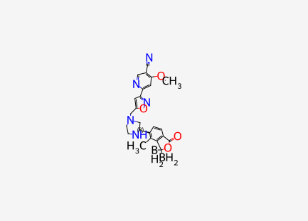 BC1(B)OC(=O)c2ccc([C@@H]3CN(Cc4cc(-c5cc(OC)c(C#N)cn5)no4)CCN3)c(C)c21